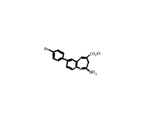 CCOC(=O)C1=Cc2cc(-c3ccc(C(C)=O)cc3)ccc2N=C(N)C1